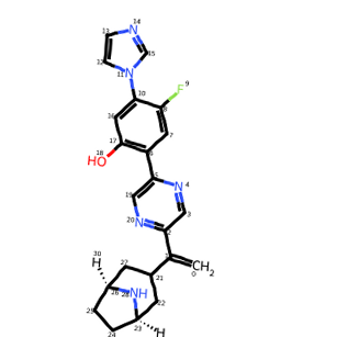 C=C(c1cnc(-c2cc(F)c(-n3ccnc3)cc2O)cn1)C1C[C@H]2CC[C@@H](C1)N2